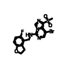 CS(=O)(=O)c1ncn2c(NCc3c(F)ccc4c3CCO4)ncc(Br)c12